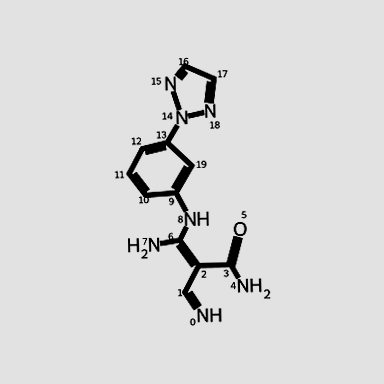 N=C/C(C(N)=O)=C(\N)Nc1cccc(-n2nccn2)c1